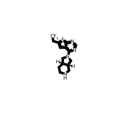 FC(F)(F)Cc1cc2c(N3C[C@H]4CCNC[C@H]4C3)ncnc2s1